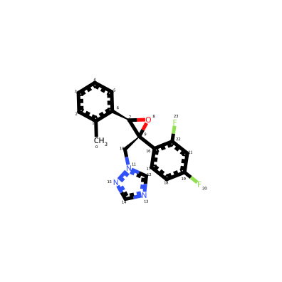 Cc1ccccc1[C@H]1O[C@]1(Cn1cncn1)c1ccc(F)cc1F